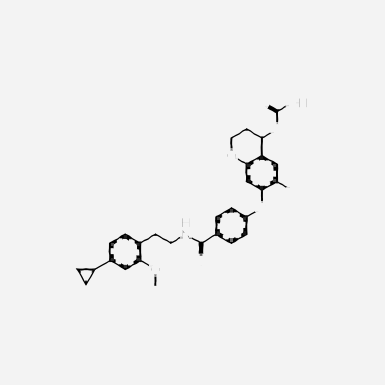 COc1cc(C2CC2)ccc1CCNC(=O)c1ccc(Oc2cc3c(cc2Cl)C(OC(=O)O)CCO3)cc1